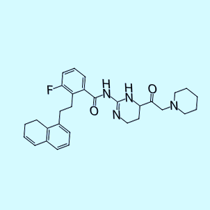 O=C(NC1=NCCC(C(=O)CN2CCCCC2)N1)c1cccc(F)c1CCc1cccc2c1CCC=C2